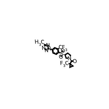 Cc1nnn(-c2ccc(S(=O)(=O)[C@@H]3CCN(C(=O)C4(C(F)(F)F)CC4)C3)c(C(F)(F)F)c2)n1